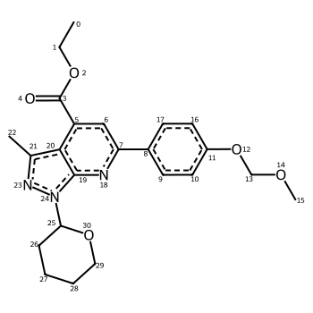 CCOC(=O)c1cc(-c2ccc(OCOC)cc2)nc2c1c(C)nn2C1CCCCO1